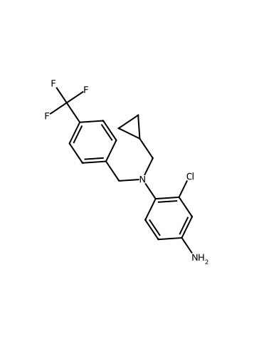 Nc1ccc(N(Cc2ccc(C(F)(F)F)cc2)CC2CC2)c(Cl)c1